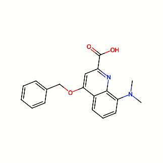 CN(C)c1cccc2c(OCc3ccccc3)cc(C(=O)O)nc12